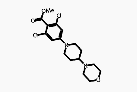 COC(=O)c1c(Cl)cc(N2CCC(N3CCOCC3)CC2)cc1Cl